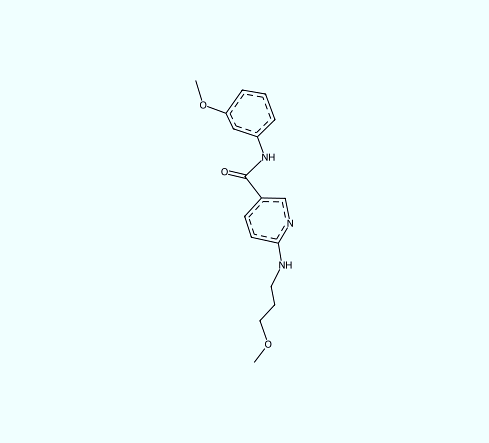 COCCCNc1ccc(C(=O)Nc2cccc(OC)c2)cn1